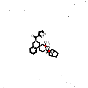 CCOC(=O)N1C2CCC1CC(N1CCC3(CC1)CN(C(=O)c1ccno1)Cc1ccccc13)C2